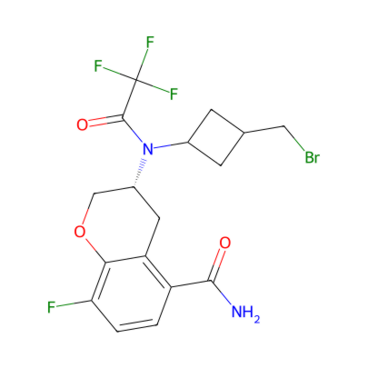 NC(=O)c1ccc(F)c2c1C[C@@H](N(C(=O)C(F)(F)F)C1CC(CBr)C1)CO2